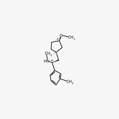 CN[C@@H](CN1CC[C@@H](OC)C1)c1cccc(C)c1